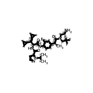 CC(C)n1nccc1C(=O)N[C@H](C(=O)Nc1ccc([C@H](C)C(=O)N(CCN)CC(F)(F)F)cc1F)C(=C1CC1)C1CC1